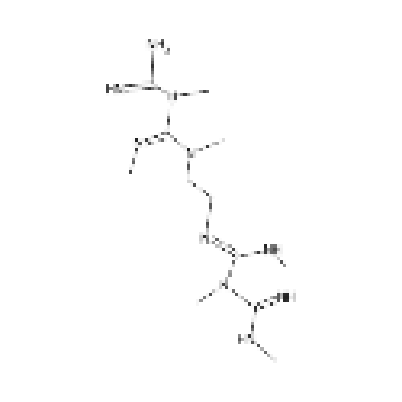 C/N=C(\N(C)CC/N=C(\NC)N(C)C(=N)NC)N(C)C(=N)N